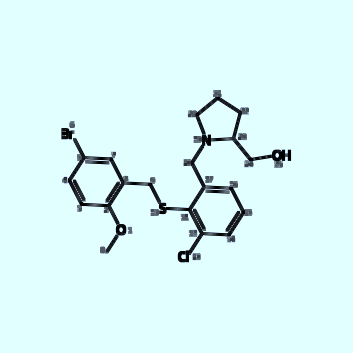 COc1ccc(Br)cc1CSc1c(Cl)cccc1CN1CCCC1CO